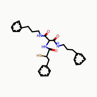 O=C(NC(C(=O)NCCCc1ccccc1)C(=O)NCCCc1ccccc1)C(S)Cc1ccccc1